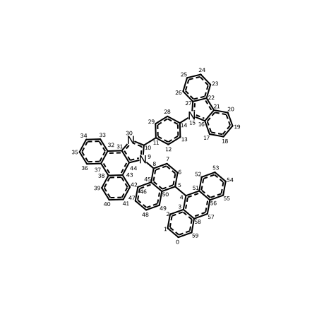 c1ccc2c(-c3ccc(-n4c(-c5ccc(-n6c7ccccc7c7ccccc76)cc5)nc5c6ccccc6c6ccccc6c54)c4ccccc34)c3ccccc3cc2c1